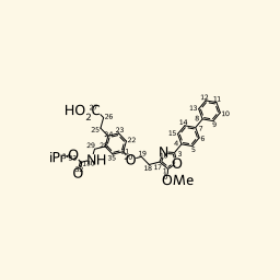 COc1oc(-c2ccc(-c3ccccc3)cc2)nc1CCOc1ccc(CCC(=O)O)c(CNC(=O)OC(C)C)c1